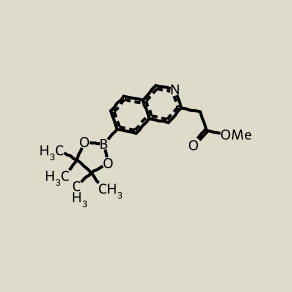 COC(=O)Cc1cc2cc(B3OC(C)(C)C(C)(C)O3)ccc2cn1